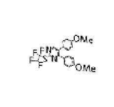 COc1ccc(-c2cnc(SC(F)(F)C(F)F)nc2-c2ccc(OC)cc2)cc1